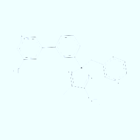 CC1=NC(Cc2cccnc2)(c2cccc(-c3cncc(Cl)c3)c2)N=C1N